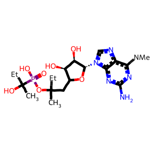 CCC(C)(CC1O[C@@H](n2cnc3c(NC)nc(N)nc32)[C@H](O)[C@@H]1O)OP(=O)(O)C(C)(O)CC